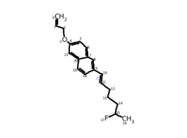 C=CCOc1ccc2cc(/C=C/CCCC(C)F)ccc2c1